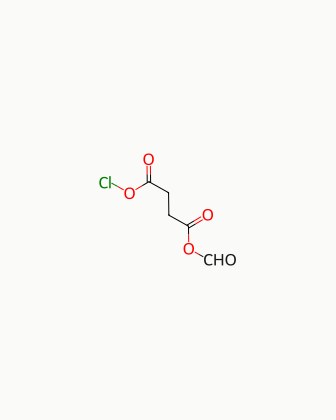 O=COC(=O)CCC(=O)OCl